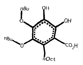 CCCCCCCCc1c(OCCCC)c(OCCCC)c(O)c(O)c1C(=O)O